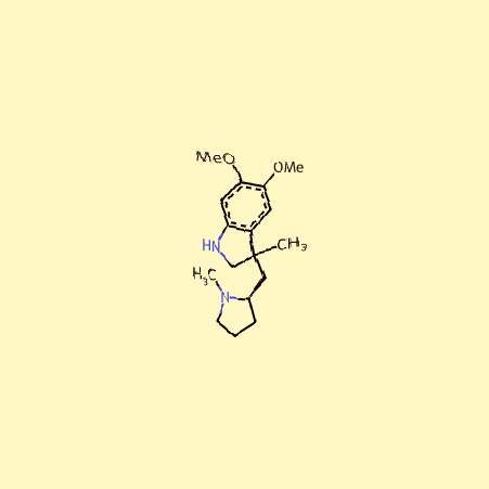 COc1cc2c(cc1OC)C(C)(C[C@H]1CCCN1C)CN2